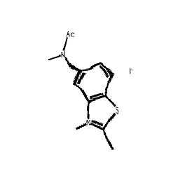 CC(=O)N(C)c1ccc2sc(C)[n+](C)c2c1.[I-]